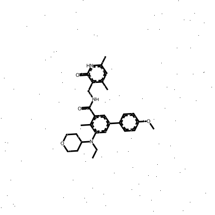 CCN(c1cc(-c2ccc(OC)cc2)cc(C(=O)NCc2c(C)cc(C)[nH]c2=O)c1C)C1CCOCC1